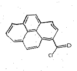 O=C(Cl)c1ccc2ccc3cccc4ccc1c2c34